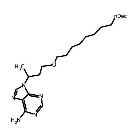 CCCCCCCCCCCCCCCCCCOCC[C](C)n1cnc2c(N)ncnc21